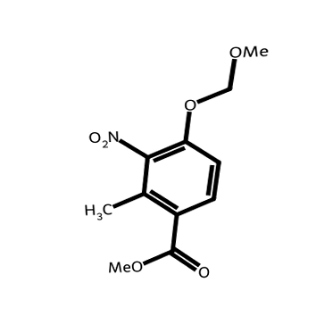 COCOc1ccc(C(=O)OC)c(C)c1[N+](=O)[O-]